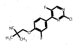 CC(C)(C#N)COc1ccc(-c2nc(Cl)ncc2F)cc1F